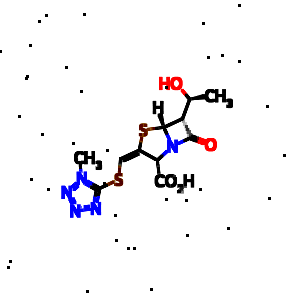 C[C@H](O)[C@@H]1C(=O)N2C(C(=O)O)/C(=C\Sc3nnnn3C)S[C@H]12